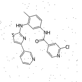 Cc1ccc(NC(=O)c2ccnc(Cl)c2)cc1Nc1nc(-c2cccnc2)cs1